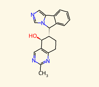 Cc1ncc2c(n1)CC[C@@H](C1c3ccccc3-c3cncn31)[C@@H]2O